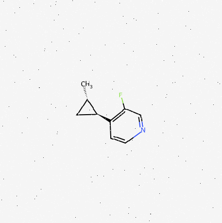 C[C@H]1C[C@@H]1c1ccncc1F